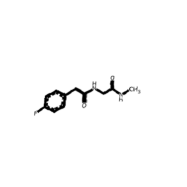 CNC(=O)CNC(=O)Cc1ccc(F)cc1